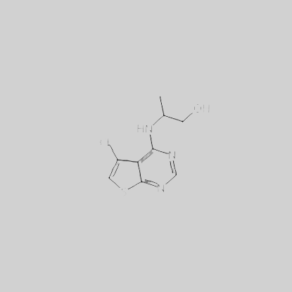 CC(CO)Nc1ncnc2scc(Cl)c12